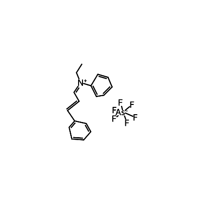 CC[N+](=CC=Cc1ccccc1)c1ccccc1.F[As-](F)(F)(F)(F)F